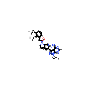 Cc1cccc(CC(=O)N2CCc3cc(-c4nn(C)c5ncnc(N)c45)ccc32)c1C